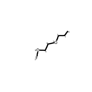 CCCOCCOF